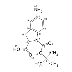 CC(C)(C)OC(=O)N1c2ccc(N)cc2CC1C(=O)O